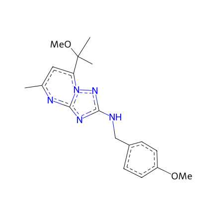 COc1ccc(CNc2nc3nc(C)cc(C(C)(C)OC)n3n2)cc1